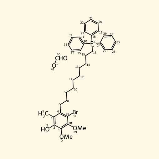 COc1c(O)c(C)c(CCCCCCCCCC[P+](c2ccccc2)(c2ccccc2)c2ccccc2)c(Br)c1OC.O=C[O-]